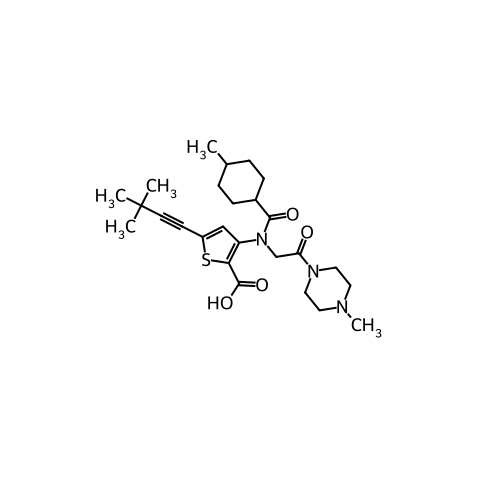 CC1CCC(C(=O)N(CC(=O)N2CCN(C)CC2)c2cc(C#CC(C)(C)C)sc2C(=O)O)CC1